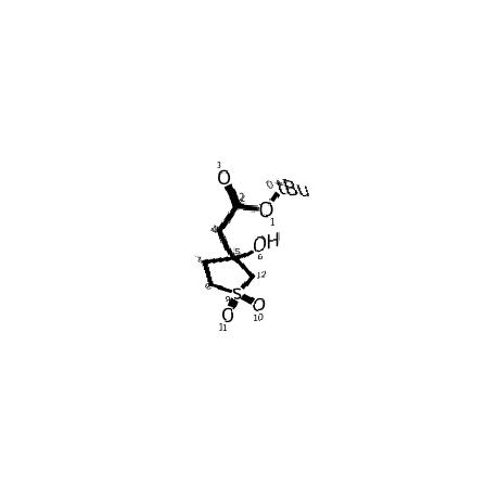 CC(C)(C)OC(=O)CC1(O)CCS(=O)(=O)C1